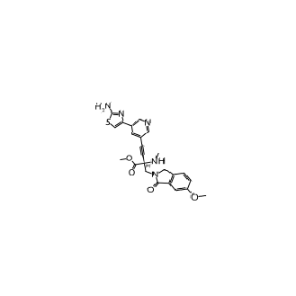 CN[C@](C#Cc1cncc(-c2csc(N)n2)c1)(CN1Cc2ccc(OC)cc2C1=O)C(=O)OC